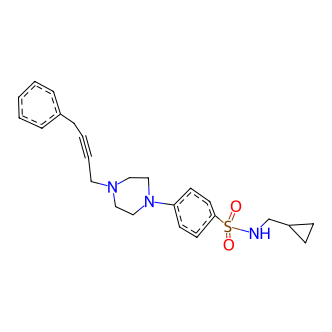 O=S(=O)(NCC1CC1)c1ccc(N2CCN(CC#CCc3ccccc3)CC2)cc1